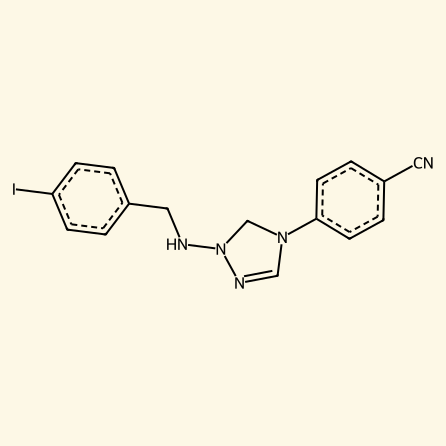 N#Cc1ccc(N2C=NN(NCc3ccc(I)cc3)C2)cc1